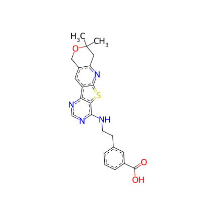 CC1(C)Cc2nc3sc4c(NCCc5cccc(C(=O)O)c5)ncnc4c3cc2CO1